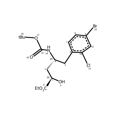 CCOC(=O)[C@H](O)C[C@@H](Cc1ccc(Br)cc1Cl)NC(=O)OC(C)(C)C